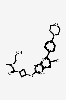 CN(CCO)C(=O)[C@H]1C[C@@H](Oc2nc3nc(-c4ccc(N5CCOCC5)cc4)c(Cl)cc3[nH]2)C1